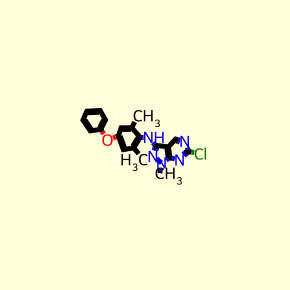 Cc1cc(Oc2ccccc2)cc(C)c1Nc1nn(C)c2nc(Cl)ncc12